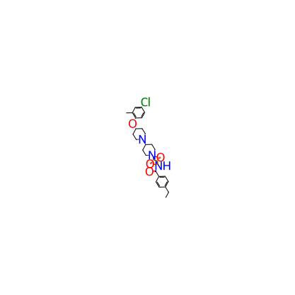 CCc1ccc(C(=O)NS(=O)(=O)N2CCC(N3CCC(Oc4ccc(Cl)cc4C)CC3)CC2)cc1